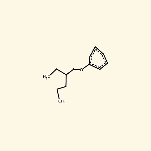 CCCC([CH]Oc1ccccc1)CC